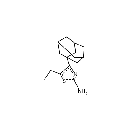 CCc1sc(N)nc1C12CC3CC(CC(C3)C1)C2